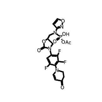 CC(=O)OP(=O)(O)N(CC1CN(c2cc(F)c(N3C=CC(=O)CC3)c(F)c2F)C(=O)O1)c1ccon1